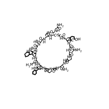 CCCC[C@H]1C(=O)N(C)[C@@H](CCCC)C(=O)N[C@@H](CC(C)C)C(=O)N[C@H](C(=O)NCC(N)=O)CSCC(=O)N[C@@H](Cc2ccc(O)cc2)C(=O)N(C)[C@@H](C)C(=O)N[C@@H](CC(N)=O)C(=O)N2CCC[C@H]2C(=O)N[C@@H](CN)C(=O)NC(C)(C)C(=O)N2CCC[C@H]2C(=O)N[C@@H](Cc2c[nH]c3ccccc23)C(=O)N[C@@H](CCN)C(=O)N[C@@H](Cc2c[nH]c3ccccc23)C(=O)N1C